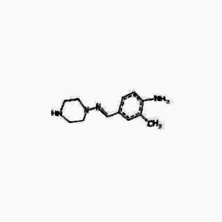 Cc1cc(/C=N/N2CCNCC2)ccc1N